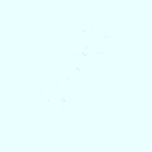 c1ccc(CN2CC(CCN3CCN(c4cccc5c4OCCO5)CC3)c3ccccc32)cc1